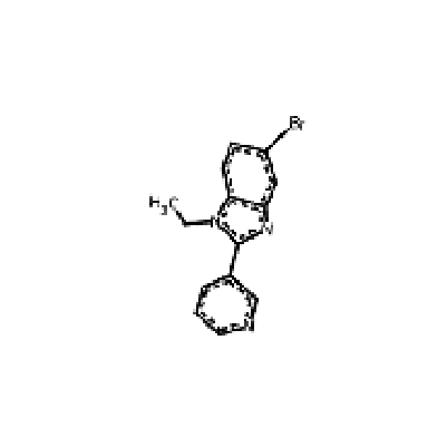 CCn1c(-c2cccnc2)nc2cc(Br)ccc21